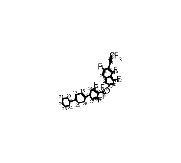 Fc1cc2cc(OC(F)(F)c3c(F)cc(C4=CCC(C5CCCCC5)CC4)cc3F)cc(F)c2c(F)c1C#CC(F)(F)F